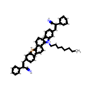 CCCCCCCCn1c2cc(/C=C(\C#N)c3ccccc3)ccc2c2ccc3c(ccc4c5ccc(/C=C(\C#N)c6ccccc6)cc5sc43)c21